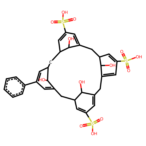 O=S(=O)(O)C1=CC2CC3=CC(c4ccccc4)=CC(CC4C=C(S(=O)(=O)O)C=C(CC5C=C(S(=O)(=O)O)C=C(CC(=C1)C2O)C5O)C4O)C3O